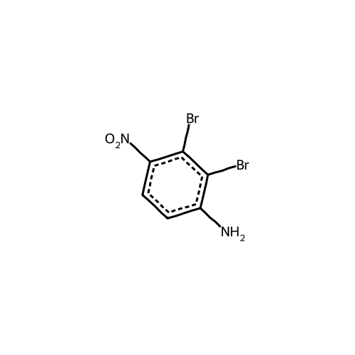 Nc1ccc([N+](=O)[O-])c(Br)c1Br